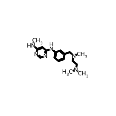 CNc1cc(Nc2cccc(CN(C)CCN(C)C)c2)ncn1